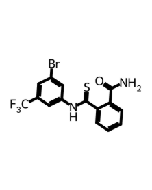 NC(=O)c1ccccc1C(=S)Nc1cc(Br)cc(C(F)(F)F)c1